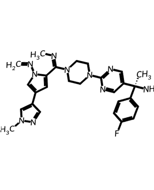 C=Nn1cc(-c2cnn(C)c2)cc1/C(=N\C)N1CCN(c2ncc([C@@](C)(N)c3ccc(F)cc3)cn2)CC1